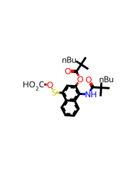 CCCCC(C)(C)C(=O)Nc1c(OC(=O)C(C)(C)CCCC)cc(SOC(=O)O)c2ccccc12